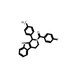 Cc1ccc(C2c3[nH]c4ccccc4c3CCN2C(=O)c2ccc(F)cc2)cc1